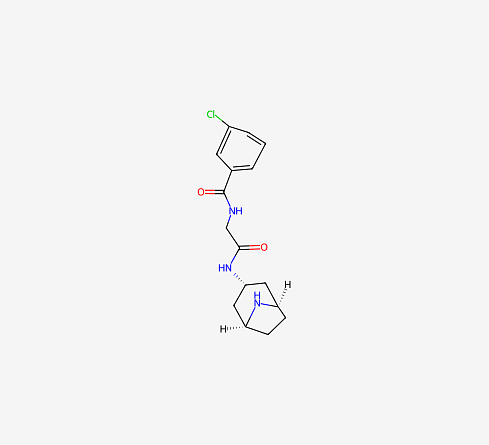 O=C(CNC(=O)c1cccc(Cl)c1)N[C@@H]1C[C@H]2CC[C@@H](C1)N2